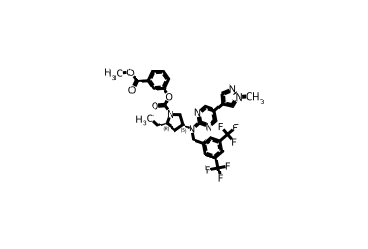 CC[C@@H]1C[C@H](N(Cc2cc(C(F)(F)F)cc(C(F)(F)F)c2)c2ncc(-c3cnn(C)c3)cn2)CN1C(=O)Oc1cccc(C(=O)OC)c1